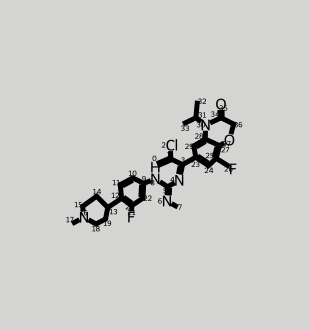 C=C(Cl)/C(=N\C(=N/C)Nc1ccc(C2CCN(C)CC2)c(F)c1)c1cc(F)c2c(c1)N(C(C)C)C(=O)CO2